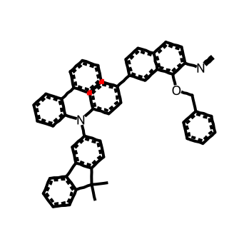 C=Nc1ccc2ccc(-c3ccc(N(c4ccc5c(c4)-c4ccccc4C5(C)C)c4ccccc4-c4ccccc4)cc3)cc2c1OCc1ccccc1